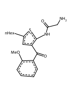 CCCCCCc1cc(C(=O)c2ccccc2OC)c(NC(=O)CN)s1